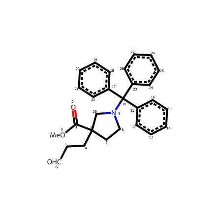 COC(=O)C1(CCC=O)CCN(C(c2ccccc2)(c2ccccc2)c2ccccc2)C1